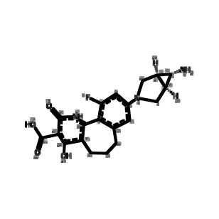 N[C@@H]1[C@H]2CN(c3cc(F)c4c(c3)CCCc3c-4[nH]c(=O)c(C(=O)O)c3O)C[C@@H]12